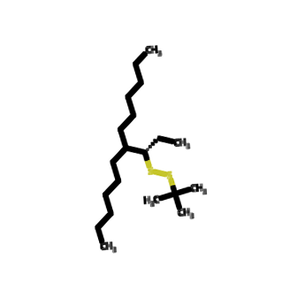 CCCCCCC(CCCCCC)[C@H](CC)SSC(C)(C)C